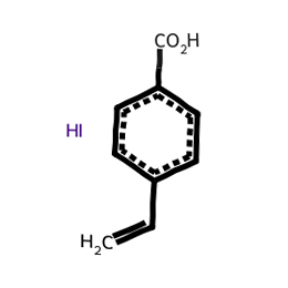 C=Cc1ccc(C(=O)O)cc1.I